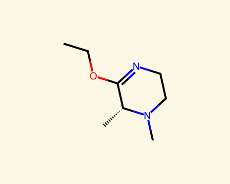 CCOC1=NCCN(C)[C@@H]1C